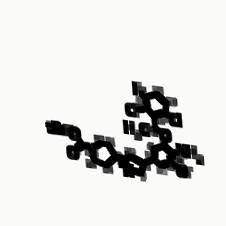 C[C@@H](Oc1cc(-c2cnn(C3CCN(C(=O)OC(C)(C)C)CC3)c2)c[n+]([O-])c1N)c1c(Cl)ccc(F)c1Cl